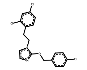 Clc1ccc(COc2nccn2CCc2ccc(Cl)cc2Cl)cc1